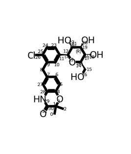 CC1(C)Oc2ccc(Cc3cc([C@@H]4O[C@H](CO)[C@@H](O)[C@H](O)[C@H]4O)ccc3Cl)cc2NC1=O